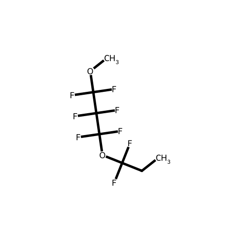 CCC(F)(F)OC(F)(F)C(F)(F)C(F)(F)OC